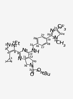 CCn1ncc(C2CC2)c1-c1nc2c(c(NCc3ccc(-c4nc(C(F)(F)F)cn4C)cc3)n1)CN(C(=O)OC(C)(C)C)C2